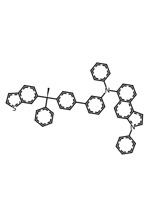 C[C@](c1ccccc1)(c1ccc(-c2cccc(N(c3ccccc3)c3cccc4c3ccc3c4ccn3-c3ccccc3)c2)cc1)c1ccc2ccsc2c1